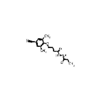 CCC(=O)NNC(=O)CCCOc1c(C)cc(C#N)cc1C